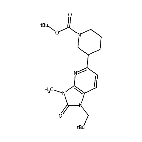 Cn1c(=O)n(CC(C)(C)C)c2ccc(C3CCCN(C(=O)OC(C)(C)C)C3)nc21